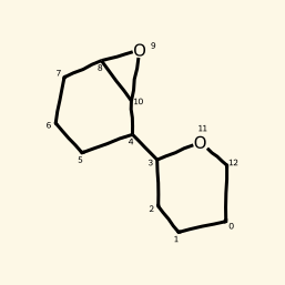 C1CCC(C2CCCC3OC32)OC1